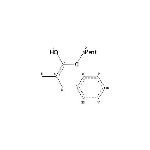 CCCCCOC(O)=C(C)[CH]c1ccccc1